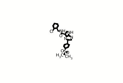 CC(C)S(=O)(=O)c1ccc(-c2cnc3[nH]cc(C(=O)NCc4ccccc4Cl)c3n2)cc1